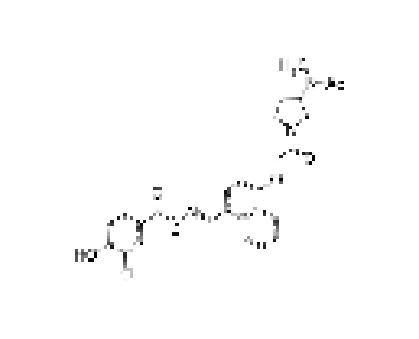 CC(=O)N(C)C1CCN(C(=O)COc2ccc(/C=N/NC(=O)c3ccc(O)c(Cl)c3)c3ccccc23)C1